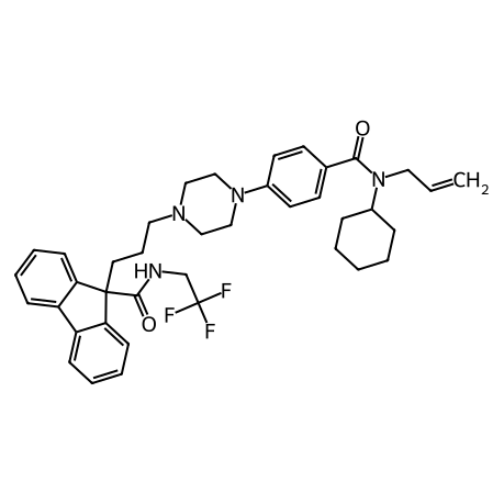 C=CCN(C(=O)c1ccc(N2CCN(CCCC3(C(=O)NCC(F)(F)F)c4ccccc4-c4ccccc43)CC2)cc1)C1CCCCC1